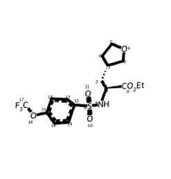 CCOC(=O)[C@H](C[C@@H]1CCOC1)NS(=O)(=O)c1ccc(OC(F)(F)F)cc1